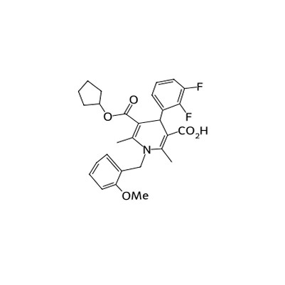 COc1ccccc1CN1C(C)=C(C(=O)O)C(c2cccc(F)c2F)C(C(=O)OC2CCCC2)=C1C